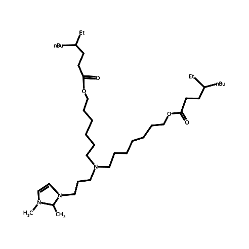 CCCCC(CC)CCC(=O)OCCCCCCCN(CCCCCCOC(=O)CCC(CC)CCCC)CCCN1C=CN(C)C1C